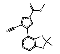 COC(=O)n1cc(C#N)c(-c2cccc3c2OC(F)(F)O3)c1